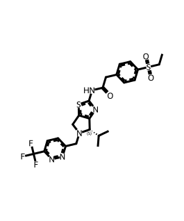 CCS(=O)(=O)c1ccc(CC(=O)Nc2nc3c(s2)CN(Cc2ccc(C(F)(F)F)nn2)[C@H]3C(C)C)cc1